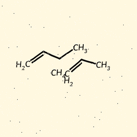 C.C=CC.C=CCC